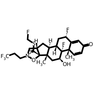 C[C@]12C=CC(=O)C=C1[C@@H](F)C[C@H]1[C@@H]3C[C@H]4CN(CCC(F)(F)F)O[C@@]4(C(=O)SCF)[C@@]3(C)C[C@H](O)[C@@]12F